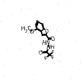 COc1cccc2oc(C(=O)NNC(=O)C(F)(F)F)cc12